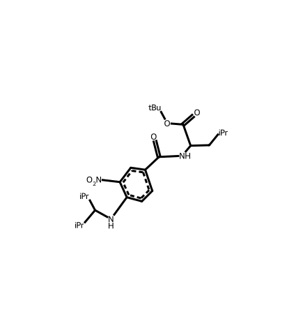 CC(C)CC(NC(=O)c1ccc(NC(C(C)C)C(C)C)c([N+](=O)[O-])c1)C(=O)OC(C)(C)C